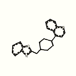 c1ccc2oc(CC3CCC(c4ccnc5ccccc45)CC3)nc2c1